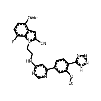 CCOc1cc(-c2cc(NCCn3c(C#N)cc4c(OC)ccc(F)c43)ncn2)ccc1-c1nnn[nH]1